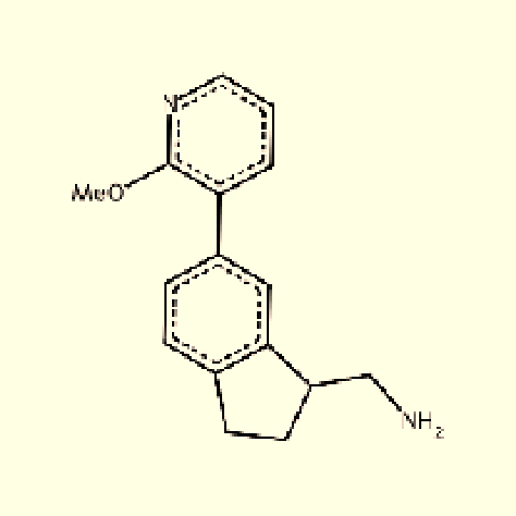 COc1ncccc1-c1ccc2c(c1)C(CN)CC2